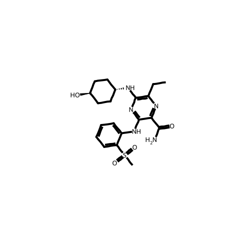 CCc1nc(C(N)=O)c(Nc2ccccc2S(C)(=O)=O)nc1N[C@H]1CC[C@H](O)CC1